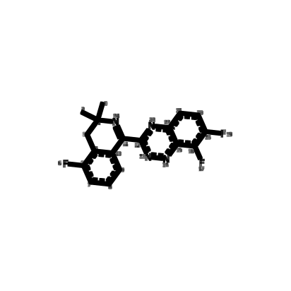 CC1(C)Cc2c(F)cccc2C(c2nnc3c(F)c(F)ccc3n2)=N1